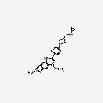 CCOc1cc2nn(C)cc2cc1NC(=O)c1cnc(N2CC(CNC3CC3)C2)cn1